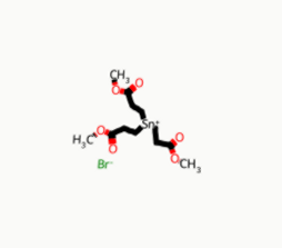 COC(=O)C[CH2][Sn+]([CH2]CC(=O)OC)[CH2]CC(=O)OC.[Br-]